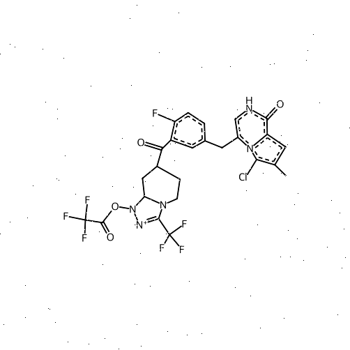 Cc1cc2c(=O)[nH]cc(Cc3ccc(F)c(C(=O)C4CCN5C(C(F)(F)F)=[N+]N(OC(=O)C(F)(F)F)C5C4)c3)n2c1Cl